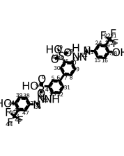 O=S(=O)(O)c1cc(-c2ccc(NN=Nc3ccc(O)c(C(F)(F)F)c3)c(S(=O)(=O)O)c2)ccc1NN=Nc1ccc(O)c(C(F)(F)F)c1